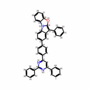 c1ccc(-c2cc(-c3ccc(-c4ccc5c(c4)c(-c4ccccc4)c4oc6ccccc6n45)cc3)nc(-c3ccccc3)n2)cc1